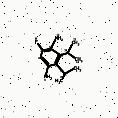 CC(C)c1c(N)cc(F)c(N)c1C(C)C